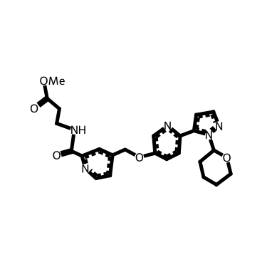 COC(=O)CCNC(=O)c1cc(COc2ccc(-c3ccnn3C3CCCCO3)nc2)ccn1